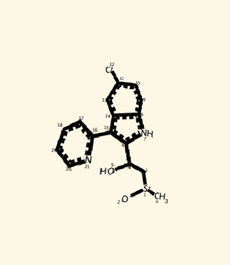 C[S+]([O-])CC(O)c1[nH]c2ccc(Cl)cc2c1-c1ccccn1